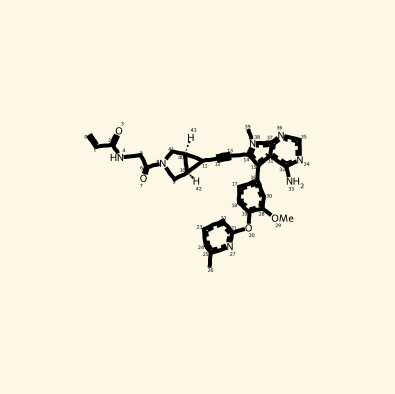 C=CC(=O)NCC(=O)N1C[C@@H]2C(C#Cc3c(-c4ccc(Oc5cccc(C)n5)c(OC)c4)c4c(N)ncnc4n3C)[C@@H]2C1